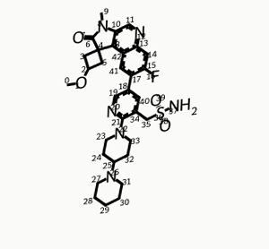 COC1CC2(C1)C(=O)N(C)c1cnc3cc(F)c(-c4cnc(N5CCC(N6CCCCC6)CC5)c(CS(N)(=O)=O)c4)cc3c12